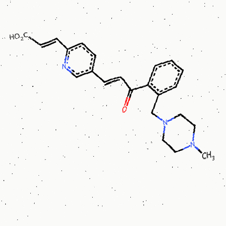 CN1CCN(Cc2ccccc2C(=O)/C=C/c2ccc(/C=C/C(=O)O)nc2)CC1